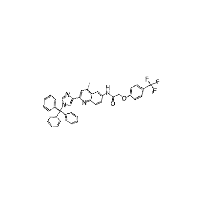 Cc1cc(-c2cn(C(c3ccccc3)(c3ccccc3)c3ccccc3)cn2)nc2ccc(NC(=O)COc3ccc(C(F)(F)F)cc3)cc12